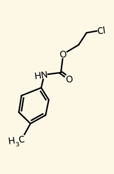 Cc1ccc(NC(=O)OCCCl)cc1